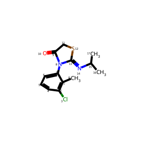 Cc1c(Cl)cccc1N1C(=O)CS/C1=N\C(C)C